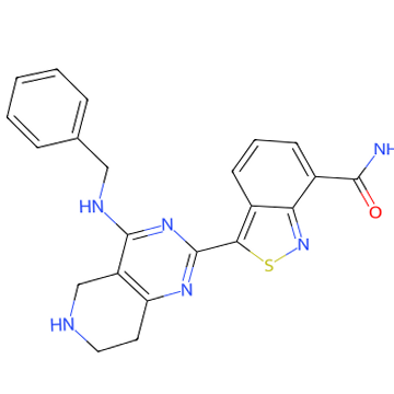 NC(=O)c1cccc2c(-c3nc4c(c(NCc5ccccc5)n3)CNCC4)snc12